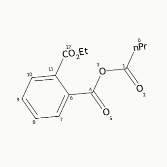 CCCC(=O)OC(=O)c1ccccc1C(=O)OCC